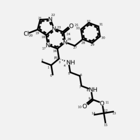 CC(C)[C@@H](NCCCNC(=O)OC(C)(C)C)c1nc2c(Cl)cnn2c(=O)n1Cc1ccccc1